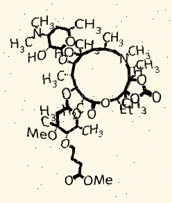 CC[C@H]1OC(=O)[C@H](C)[C@@H](OC2C[C@@](C)(OC)[C@@H](OCCCC(=O)OC)[C@H](C)O2)[C@H](C)[C@@H](O[C@@H]2O[C@H](C)C[C@H](N(C)C)[C@H]2O)[C@](C)(O)C[C@@H](C)CN(C)[C@H](C)[C@@H]2OC(=O)O[C@]12C